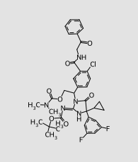 CN(C)C(=O)OCC(c1ccc(Cl)c(C(=O)NCC(=O)c2ccccc2)c1)N1C(=O)C(c2cc(F)cc(F)c2)(C2CC2)NC1=NC(=O)OC(C)(C)C